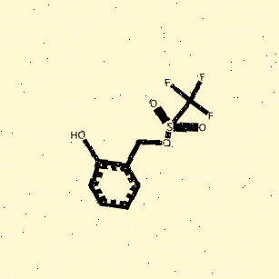 O=S(=O)(OCc1ccccc1O)C(F)(F)F